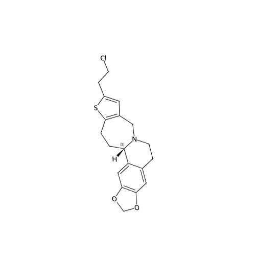 ClCCc1cc2c(s1)CC[C@H]1c3cc4c(cc3CCN1C2)OCO4